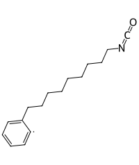 O=C=NCCCCCCCCCc1[c]cccc1